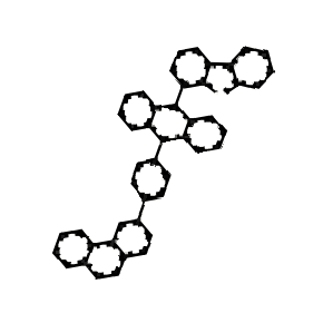 c1ccc2c(c1)ccc1ccc(-c3ccc(-c4c5ccccc5c(-c5cccc6c5sc5ccccc56)c5ccccc45)cc3)cc12